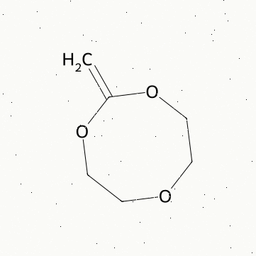 C=C1OCCOCCO1